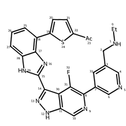 CCNCc1cncc(-c2ncc3[nH]nc(-c4nc5c(-c6ccc(C(C)=O)s6)cccc5[nH]4)c3c2F)c1